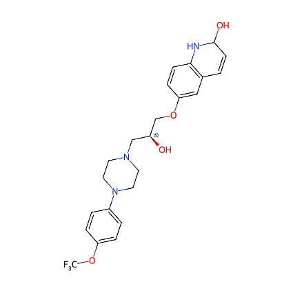 OC1C=Cc2cc(OC[C@@H](O)CN3CCN(c4ccc(OC(F)(F)F)cc4)CC3)ccc2N1